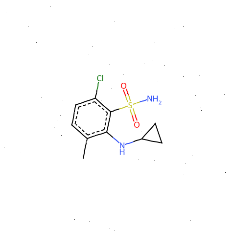 Cc1ccc(Cl)c(S(N)(=O)=O)c1NC1CC1